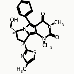 Cc1csc([C@H]2C[C@H](CO)n3c(-c4ccccc4)c4c(=O)n(C)c(=O)n(C)c4c32)n1